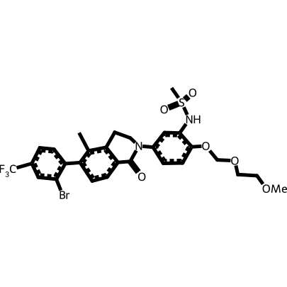 COCCOCOc1ccc(N2CCc3c(ccc(-c4ccc(C(F)(F)F)cc4Br)c3C)C2=O)cc1NS(C)(=O)=O